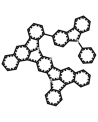 c1ccc(-n2c3ccccc3c3cc(-c4cccc5c6cc7ccccc7c7c8cc9c(nc8n(c45)c67)c4cc5ccccc5c5c6ccccc6n9c45)ccc32)cc1